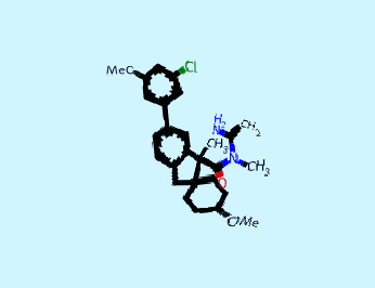 C=C(N)N(C)C(=O)C1(C)c2cc(-c3cc(Cl)cc(OC)c3)ccc2CC12CCC(OC)CC2